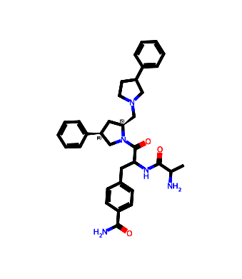 CC(N)C(=O)NC(Cc1ccc(C(N)=O)cc1)C(=O)N1C[C@@H](c2ccccc2)C[C@H]1CN1CCC(c2ccccc2)C1